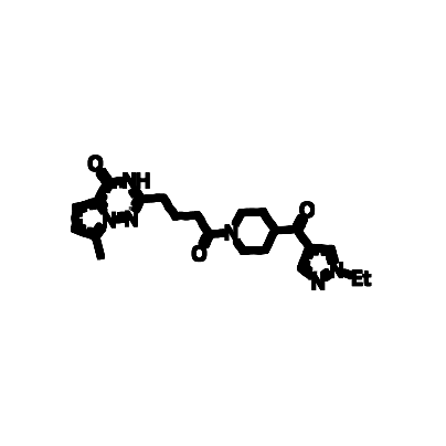 CCn1cc(C(=O)C2CCN(C(=O)CCCc3nn4c(C)ccc4c(=O)[nH]3)CC2)cn1